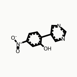 O=[N+]([O-])c1ccc(-c2cncnc2)c(O)c1